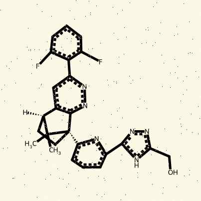 CC1(C)[C@H]2CC[C@]1(c1cccc(-c3nnc(CO)[nH]3)n1)c1nnc(-c3c(F)cccc3F)cc12